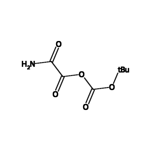 CC(C)(C)OC(=O)OC(=O)C(N)=O